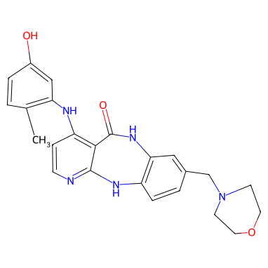 Cc1ccc(O)cc1Nc1ccnc2c1C(=O)Nc1cc(CN3CCOCC3)ccc1N2